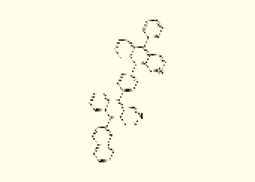 c1ccc(-c2c3ccccc3c(-c3ccc(-c4c5ccccc5c(-c5ccc6ccccc6c5)c5ccncc45)cc3)c3cnccc23)cc1